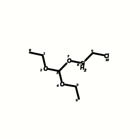 CCOC(OCC)O[SiH2]CCl